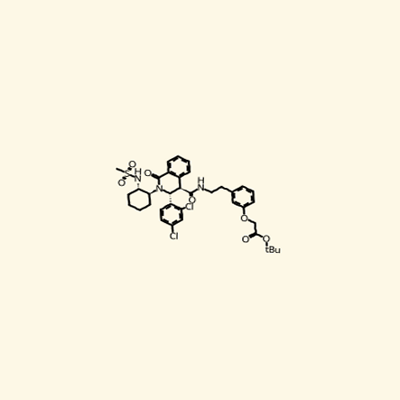 CC(C)(C)OC(=O)COc1cccc(CCNC(=O)[C@@H]2c3ccccc3C(=O)N([C@H]3CCCC[C@@H]3NS(C)(=O)=O)[C@H]2c2ccc(Cl)cc2Cl)c1